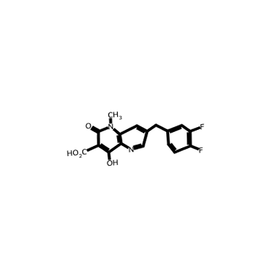 Cn1c(=O)c(C(=O)O)c(O)c2ncc(Cc3ccc(F)c(F)c3)cc21